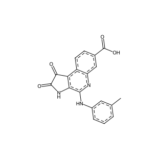 Cc1cccc(Nc2nc3cc(C(=O)O)ccc3c3c2NC(=O)C3=O)c1